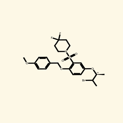 COc1ccc(COc2ccc(O[C@@H](C)C(C)Br)cc2S(=O)(=O)N2CCC(F)(F)CC2)cc1